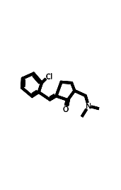 CN(C)CC1CCC(=Cc2ccccc2Cl)C1=O